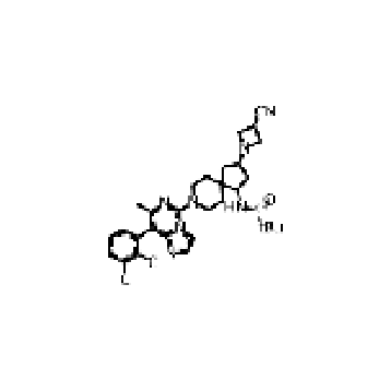 Cc1nc(N2CCC3(CC2)CC(N2CC(C#N)C2)C[C@H]3N[S+]([O-])C(C)(C)C)n2ccnc2c1-c1cccc(Cl)c1Cl